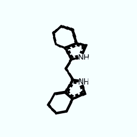 c1[nH]c(Cc2[nH]cc3c2CCCC3)c2c1CCCC2